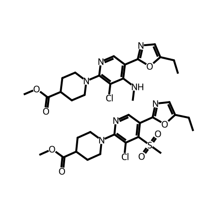 CCc1cnc(-c2cnc(N3CCC(C(=O)OC)CC3)c(Cl)c2NC)o1.CCc1cnc(-c2cnc(N3CCC(C(=O)OC)CC3)c(Cl)c2S(C)(=O)=O)o1